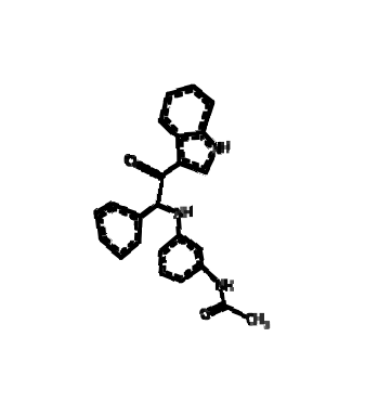 CC(=O)Nc1cccc(NC(C(=O)c2c[nH]c3ccccc23)c2ccccc2)c1